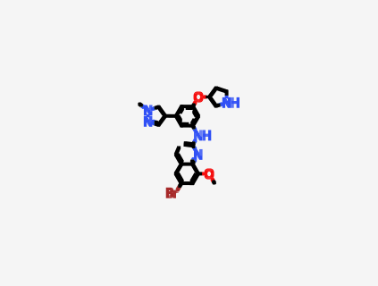 C=C(/N=C1/C(OC)=CC(Br)=C/C1=C/C)Nc1cc(O[C@H]2CCNC2)cc(C2C=NN(C)C2)c1